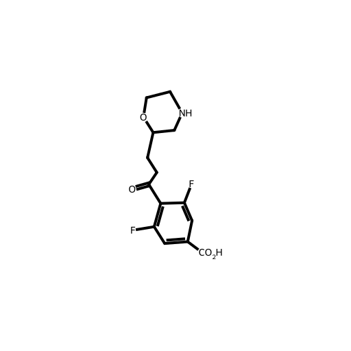 O=C(O)c1cc(F)c(C(=O)CCC2CNCCO2)c(F)c1